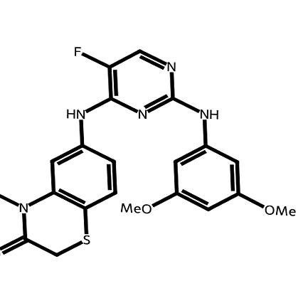 COc1cc(Nc2ncc(F)c(Nc3ccc4c(c3)N(C)C(=O)CS4)n2)cc(OC)c1